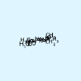 Cc1ccc(C(=O)NCc2cc3nc(-c4ccc(C)c(N5C[C@@H](C)O[C@@H](C)C5)n4)ccc3cn2)cc1S(C)(=O)=O